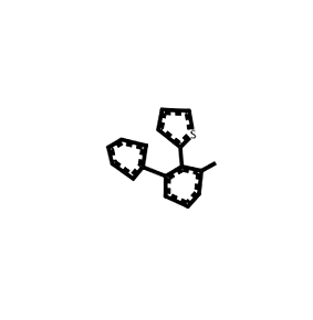 Cc1cccc(-c2ccccc2)c1-c1cccs1